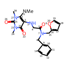 CNc1c(NCC(=O)N(Cc2ccccc2)Cc2ccco2)c(=O)n(C)c(=O)n1C